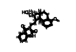 COc1cccc2c1CC[C@H]1CNC(CCn3c(=O)[nH]c4cnccc4c3=O)[C@@H]21.Cl.Cl